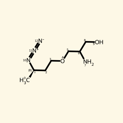 C[C@H](CCOCC(N)CO)N=[N+]=[N-]